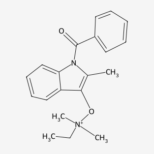 CC[N+](C)(C)Oc1c(C)n(C(=O)c2ccccc2)c2ccccc12